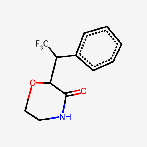 O=C1NCCOC1C(c1ccccc1)C(F)(F)F